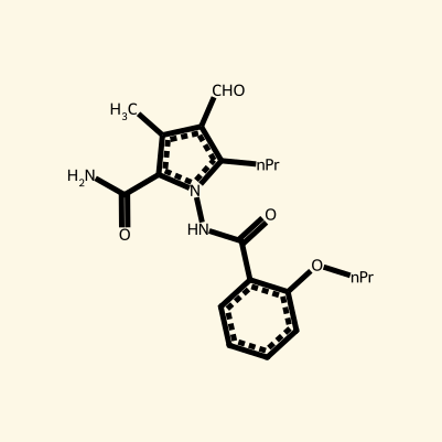 CCCOc1ccccc1C(=O)Nn1c(CCC)c(C=O)c(C)c1C(N)=O